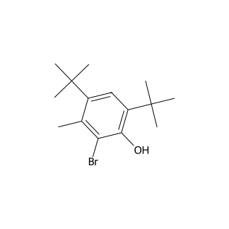 Cc1c(C(C)(C)C)cc(C(C)(C)C)c(O)c1Br